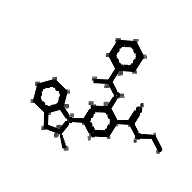 CCOC(=O)c1cnc(N2c3ccccc3C[C@H]2C)nc1OC(C)c1ccccc1